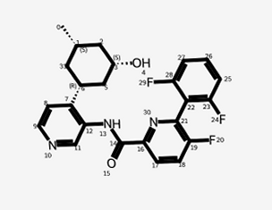 C[C@@H]1C[C@H](O)C[C@H](c2ccncc2NC(=O)c2ccc(F)c(-c3c(F)cccc3F)n2)C1